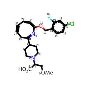 COCC(C(=O)O)N1CCC(/C2=N/C(OCc3ccc(Cl)cc3F)=C=CC#CC2)CC1